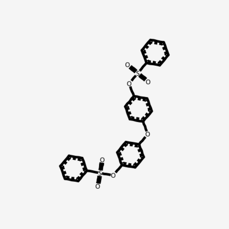 O=S(=O)(Oc1ccc(Oc2ccc(OS(=O)(=O)c3ccccc3)cc2)cc1)c1ccccc1